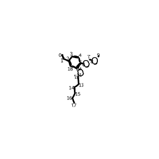 C=Cc1ccc(OCOC)c(OCCCCCC)c1